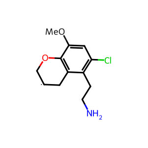 COc1cc(Cl)c(CCN)c2c1OC[CH]C2